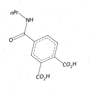 CCCNC(=O)c1ccc(C(=O)O)c(C(=O)O)c1